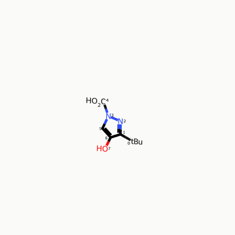 CC(C)(C)c1nn(C(=O)O)cc1O